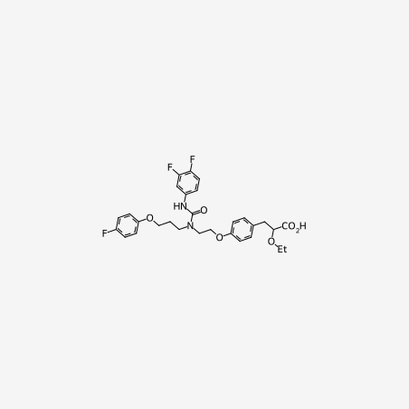 CCOC(Cc1ccc(OCCN(CCCOc2ccc(F)cc2)C(=O)Nc2ccc(F)c(F)c2)cc1)C(=O)O